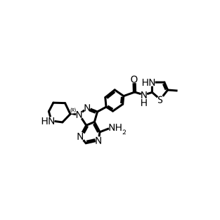 CC1=CNC(NC(=O)c2ccc(-c3nn([C@@H]4CCCNC4)c4ncnc(N)c34)cc2)S1